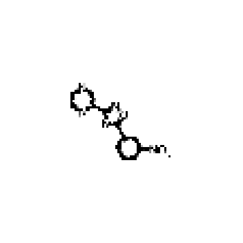 O=[N+]([O-])c1cccc(-c2nc(-c3cnccn3)no2)c1